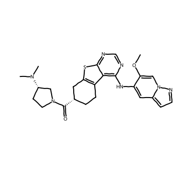 COc1cn2nccc2cc1Nc1ncnc2sc3c(c12)CC[C@H](C(=O)N1CC[C@H](N(C)C)C1)C3